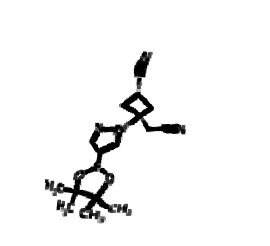 CC1(C)OB(c2cnn([C@]3(CC#N)C[C@H](C#N)C3)c2)OC1(C)C